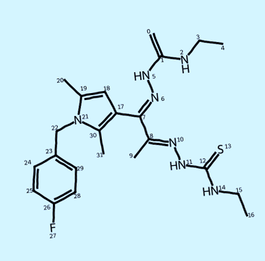 C=C(NCC)N/N=C(/C(C)=N/NC(=S)NCC)c1cc(C)n(Cc2ccc(F)cc2)c1C